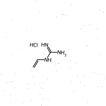 C=CNC(=N)N.Cl